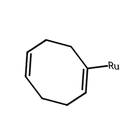 [Ru][C]1=CCCC=CCC1